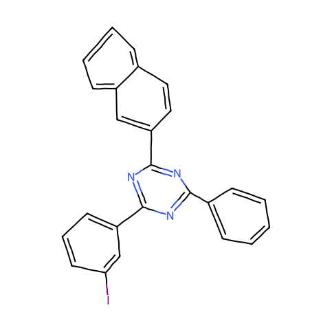 Ic1cccc(-c2nc(-c3ccccc3)nc(-c3ccc4ccccc4c3)n2)c1